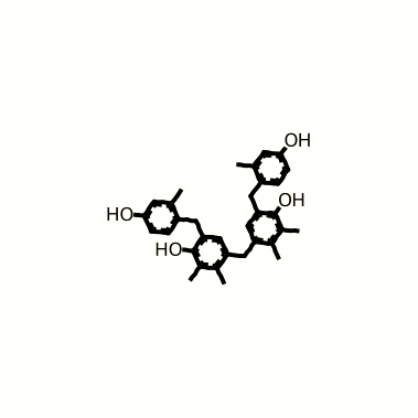 Cc1cc(O)ccc1Cc1cc(Cc2cc(Cc3ccc(O)cc3C)c(O)c(C)c2C)c(C)c(C)c1O